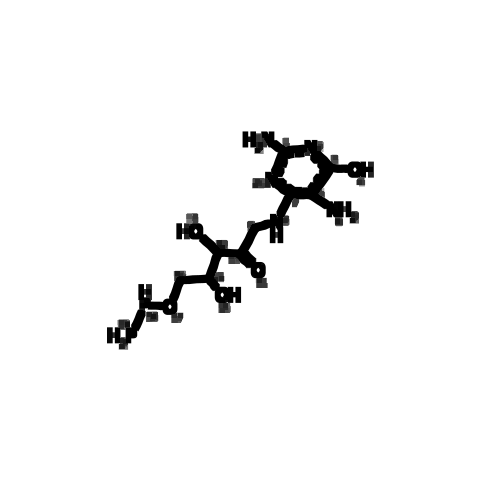 Nc1nc(O)c(N)c(NCC(=O)C(O)C(O)COPP)n1